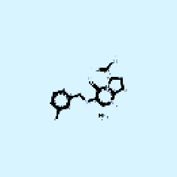 Cc1cccc(CNc2cnc3n(c2=O)[C@H](C(=O)O)CC3)c1.N